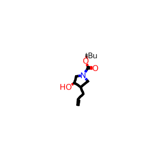 C=CCC1CN(C(=O)OC(C)(C)C)CC1O